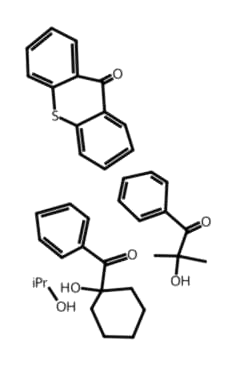 CC(C)(O)C(=O)c1ccccc1.CC(C)O.O=C(c1ccccc1)C1(O)CCCCC1.O=c1c2ccccc2sc2ccccc12